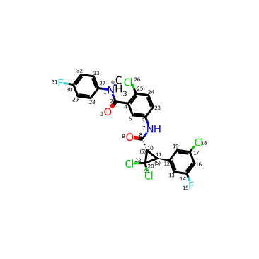 CN(C(=O)c1cc(NC(=O)[C@@H]2[C@@H](c3cc(F)cc(Cl)c3)C2(Cl)Cl)ccc1Cl)c1ccc(F)cc1